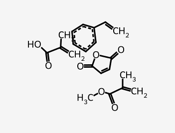 C=C(C)C(=O)O.C=C(C)C(=O)OC.C=Cc1ccccc1.O=C1C=CC(=O)O1